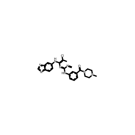 C=N/C(=N\C(Nc1ccc2ncsc2c1)=C(/C)Cl)Nc1cccc(C(=O)N2CCN(C)CC2)c1